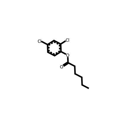 CCCCCC(=O)Oc1ccc(Cl)cc1Cl